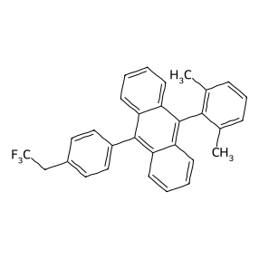 Cc1cccc(C)c1-c1c2ccccc2c(-c2ccc(CC(F)(F)F)cc2)c2ccccc12